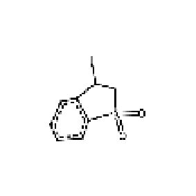 O=S1(=O)CC(I)c2ccccc21